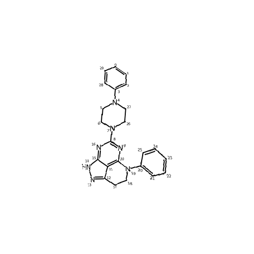 c1ccc(N2CCN(c3nc4c5c(n[nH]c5n3)CCN4c3ccccc3)CC2)cc1